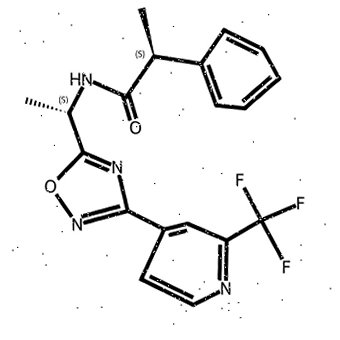 C[C@H](NC(=O)[C@@H](C)c1ccccc1)c1nc(-c2ccnc(C(F)(F)F)c2)no1